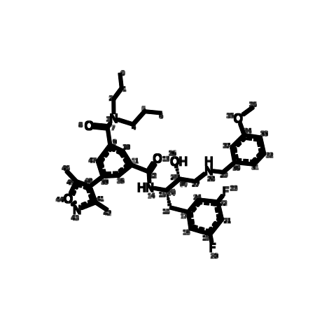 CCCN(CCC)C(=O)c1cc(C(=O)N[C@@H](Cc2cc(F)cc(F)c2)[C@H](O)CNCc2cccc(OC)c2)cc(-c2c(C)noc2C)c1